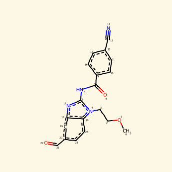 COCCn1c(NC(=O)c2ccc(C#N)cc2)nc2cc(C=O)ccc21